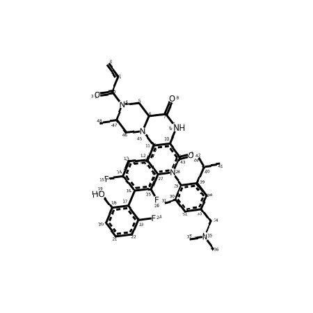 C=CC(=O)N1CC2C(=O)Nc3c(c4cc(F)c(-c5c(O)cccc5F)c(F)c4n(-c4c(C)cc(CN(C)C)cc4C(C)C)c3=O)N2CC1C